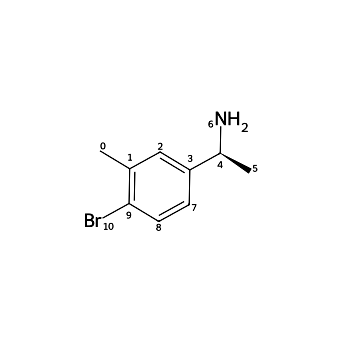 Cc1cc([C@H](C)N)ccc1Br